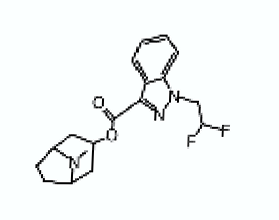 CN1C2CCC1CC(OC(=O)c1nn(CC(F)F)c3ccccc13)C2